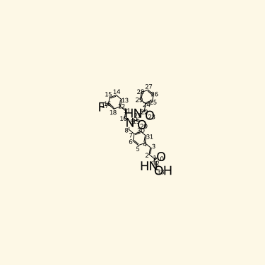 O=C(C=Cc1ccc(CN(CCc2cccc(F)c2)C(=O)NC(=O)c2ccccc2)cc1)NO